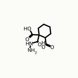 NNC(=O)C1(C(=O)O)CCCCC1C(=O)O